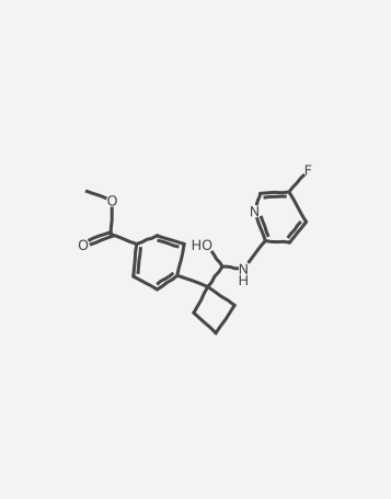 COC(=O)c1ccc(C2(C(O)Nc3ccc(F)cn3)CCC2)cc1